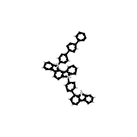 c1ccc(-c2ccc(-c3ccc(-n4c5ccccc5c5ccc6c(c7ccccc7n6-c6ccc(-c7cccc8c7oc7ccccc78)cc6)c54)cc3)cc2)cc1